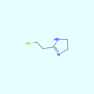 SCCC1=NCCN1